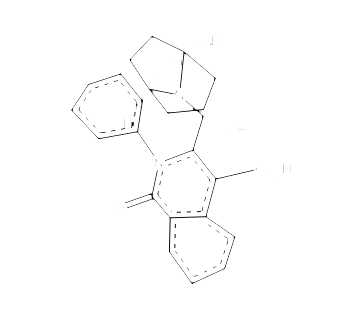 O=C(O)c1c(CN2[C@@H]3CC[C@H]2C[C@H](O)C3)n(-c2ccccc2)c(=O)c2ccccc12